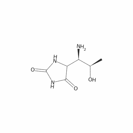 C[C@@H](O)[C@H](N)C1NC(=O)NC1=O